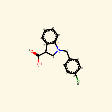 O=C(O)C1CN(Cc2ccc(Cl)cc2)c2ccccc21